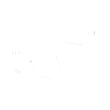 C=COC1CCCC(C)(C(C)C)C1